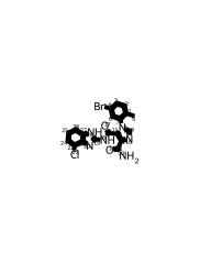 Cc1ccc(Br)cc1-n1cnc(C(N)=O)c1C(=O)Nc1nc2c(Cl)cccc2[nH]1